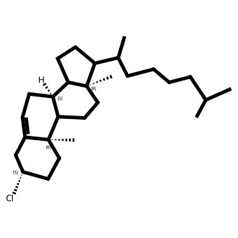 CC(C)CCCCC(C)C1CCC2[C@@H]3CC=C4C[C@@H](Cl)CC[C@]4(C)C3CC[C@]12C